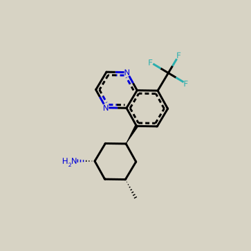 C[C@@H]1C[C@H](N)C[C@@H](c2ccc(C(F)(F)F)c3nccnc23)C1